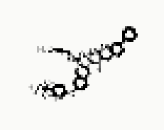 CC#CCOC(=O)N1Cc2cc(Oc3ccc(C(C)(C)C)cc3)ccc2C[C@H]1C(=O)NC(Cc1ccc(-c2ccccc2)cc1)C(=O)O